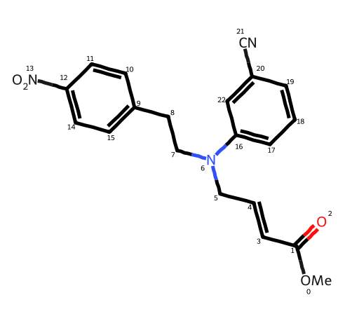 COC(=O)C=CCN(CCc1ccc([N+](=O)[O-])cc1)c1cccc(C#N)c1